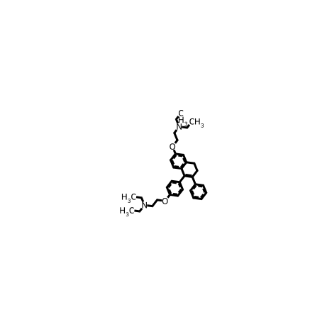 CCN(CC)CCOc1ccc(C2=C(c3ccccc3)CCc3cc(OCCN(CC)CC)ccc32)cc1